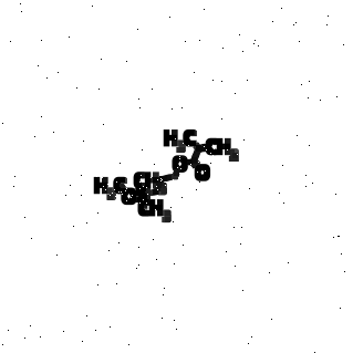 C=C(C)C(=O)OCCC[Si](C)(C)OC